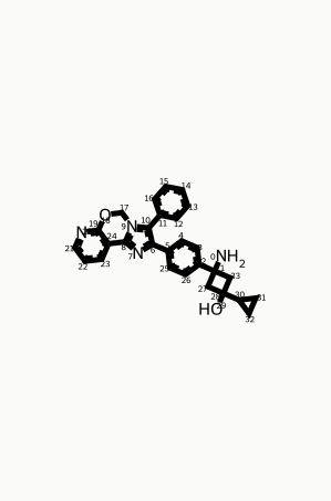 NC1(c2ccc(-c3nc4n(c3-c3ccccc3)COc3ncccc3-4)cc2)CC(O)(C2CC2)C1